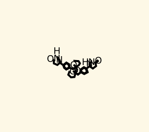 O=C1CCC(c2ccc(CC3(OC4(Cc5ccc(C6=NNC(=O)CC6)cc5)CCCCO4)CCCCO3)cc2)=NN1